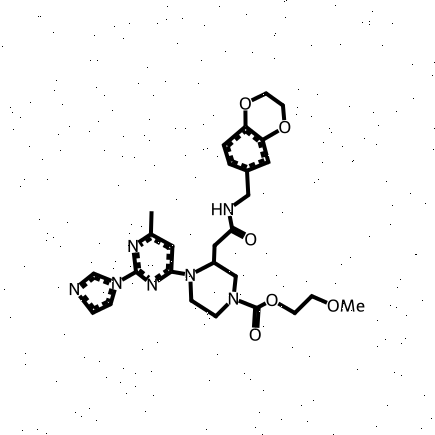 COCCOC(=O)N1CCN(c2cc(C)nc(-n3ccnc3)n2)C(CC(=O)NCc2ccc3c(c2)OCCO3)C1